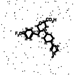 Cn1cnc(C2CCC(N3CC(C(=O)O)OCC3Cc3ccc(C(F)(F)F)cc3)CC2)n1